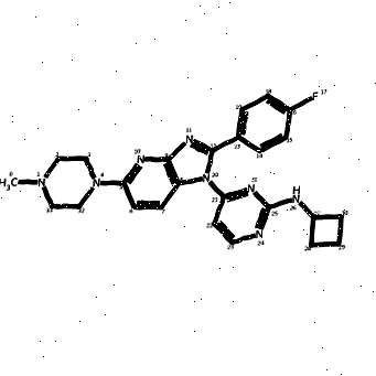 CN1CCN(c2ccc3c(n2)nc(-c2ccc(F)cc2)n3-c2ccnc(NC3CCC3)n2)CC1